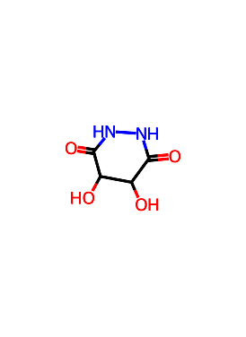 O=C1NNC(=O)C(O)C1O